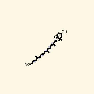 CC(/C=C/C=C(C)/C=C/[C@@]12O[C@]1(C)C[C@@H](O)CC2(C)C)=C\C=C\C=C(C)\C=C\CO